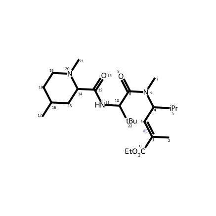 CCOC(=O)/C(C)=C/C(C(C)C)N(C)C(=O)C(NC(=O)C1CC(C)CCN1C)C(C)(C)C